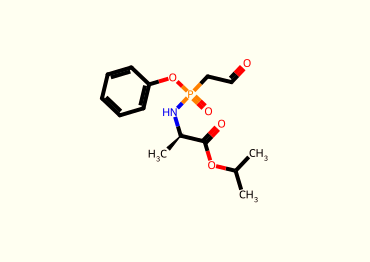 CC(C)OC(=O)[C@@H](C)NP(=O)(CC=O)Oc1ccccc1